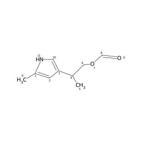 Cc1cc(C(C)COC=O)c[nH]1